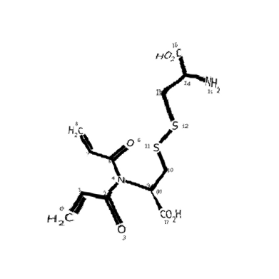 C=CC(=O)N(C(=O)C=C)[C@@H](CSSCC(N)C(=O)O)C(=O)O